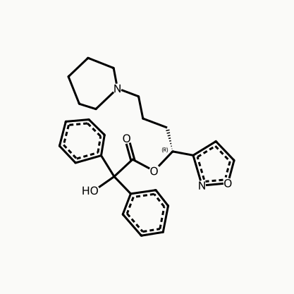 O=C(O[C@H](CCCN1CCCCC1)c1ccon1)C(O)(c1ccccc1)c1ccccc1